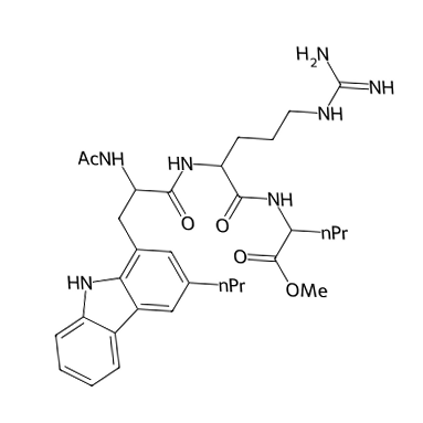 CCCc1cc(CC(NC(C)=O)C(=O)NC(CCCNC(=N)N)C(=O)NC(CCC)C(=O)OC)c2[nH]c3ccccc3c2c1